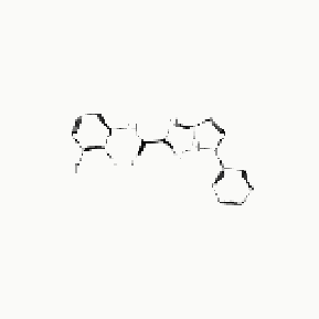 O=C(Nc1cccc(Cl)c1F)c1nc2n(n1)C(c1ccccc1)C=C2